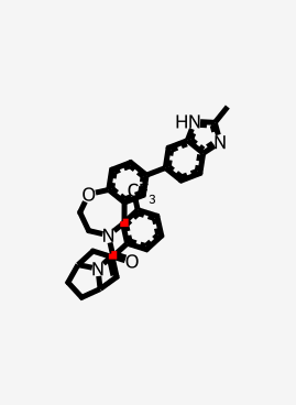 Cc1nc2ccc(-c3ccc4c(c3)CN(C(=O)N3C5C=C(c6cccc(C(F)(F)F)c6)CC3CC5)CCO4)cc2[nH]1